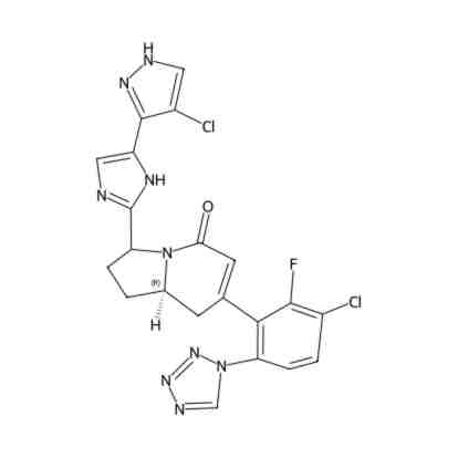 O=C1C=C(c2c(-n3cnnn3)ccc(Cl)c2F)C[C@H]2CCC(c3ncc(-c4n[nH]cc4Cl)[nH]3)N12